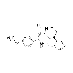 COc1ccc(C(=O)NCCc2ccccc2N2CCN(C)CC2)cc1